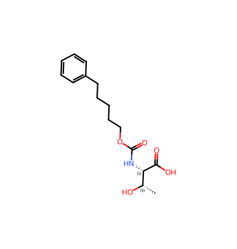 C[C@H](O)[C@H](NC(=O)OCCCCCc1ccccc1)C(=O)O